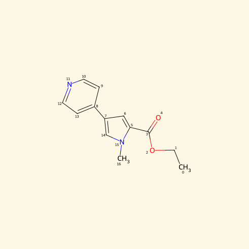 CCOC(=O)c1cc(-c2ccncc2)cn1C